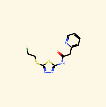 O=C(Cc1ccccn1)Nc1nnc(SCCCl)s1